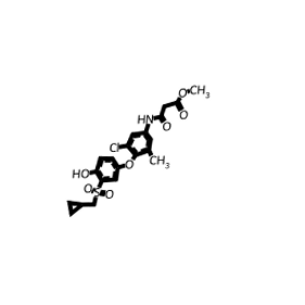 COC(=O)CC(=O)Nc1cc(C)c(Oc2ccc(O)c(S(=O)(=O)CC3CC3)c2)c(Cl)c1